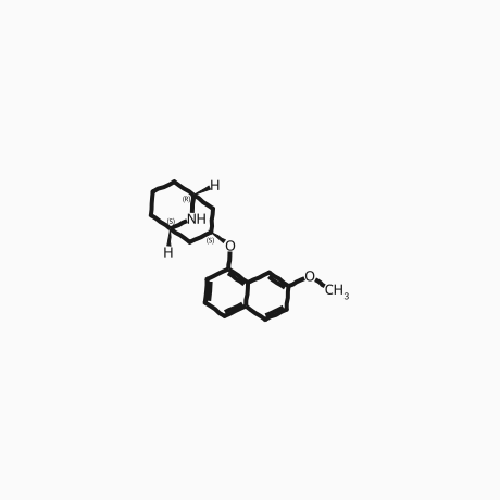 COc1ccc2cccc(O[C@@H]3C[C@H]4CCC[C@@H](C3)N4)c2c1